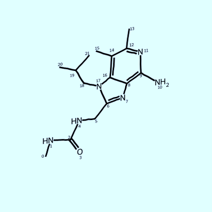 CNC(=O)NCc1nc2c(N)nc(C)c(C)c2n1CC(C)C